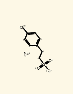 O=S(=O)([O-])CCc1ccc(Cl)cc1.[Na+]